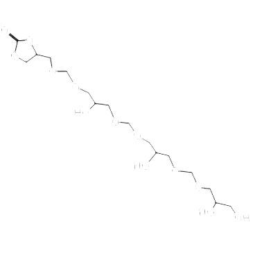 O=C1OCC(COCOCC(O)COCOCC(O)COCOCC(O)CO)O1